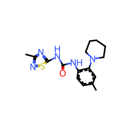 Cc1ccc(NC(=O)Nc2nc(C)ns2)c(N2CCCCC2)c1